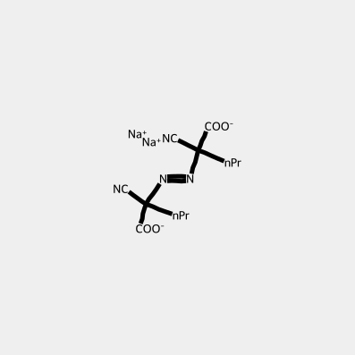 CCCC(C#N)(N=NC(C#N)(CCC)C(=O)[O-])C(=O)[O-].[Na+].[Na+]